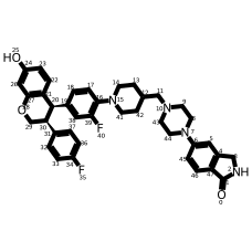 O=C1NCc2cc(N3CCN(CC4CCN(c5ccc([C@@H]6c7ccc(O)cc7OC[C@@H]6c6ccc(F)cc6)cc5F)CC4)CC3)ccc21